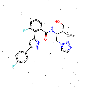 COC(CO)[C@@H](Cn1ccnn1)NC(=O)c1cccc(F)c1-c1cc(-c2ccc(F)cc2)[nH]n1